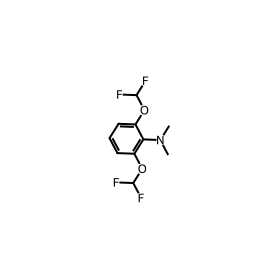 CN(C)c1c(OC(F)F)cccc1OC(F)F